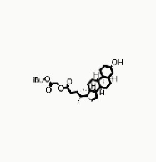 CCC(C)OC(=O)COC(=O)CC[C@@H](C)[C@H]1CC[C@H]2[C@@H]3CC[C@@H]4C[C@H](O)CC[C@]4(C)[C@H]3CC[C@]12C